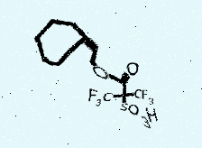 O=C(OCC1CCCCC1)C(C(F)(F)F)(C(F)(F)F)S(=O)(=O)O